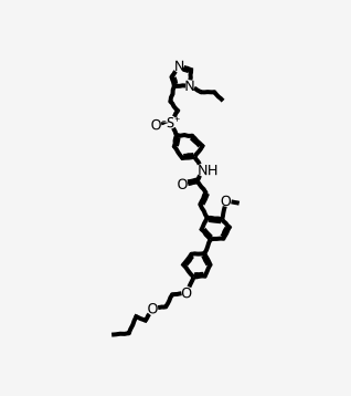 CCCCOCCOc1ccc(-c2ccc(OC)c(/C=C/C(=O)Nc3ccc([S@@+]([O-])CCc4cncn4CCC)cc3)c2)cc1